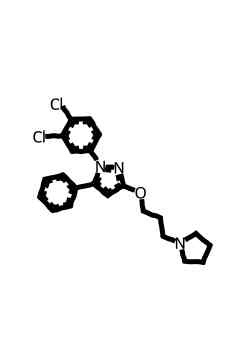 Clc1ccc(-n2nc(OCCCN3CCCC3)cc2-c2ccccc2)cc1Cl